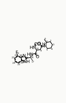 CC1CCCCN1C(=O)CC(NC(=O)O)C(=O)N[C@@H](C)c1nc2c(F)cccc2[nH]1